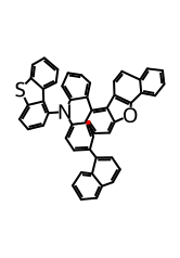 c1ccc(N(c2ccc(-c3cccc4ccccc34)cc2)c2cccc3sc4ccccc4c23)c(-c2cccc3oc4c5ccccc5ccc4c23)c1